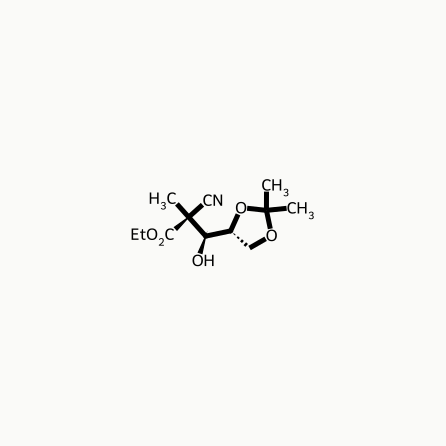 CCOC(=O)[C@@](C)(C#N)[C@H](O)[C@H]1COC(C)(C)O1